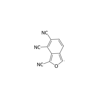 N#Cc1ccc2[c]oc(C#N)c2c1C#N